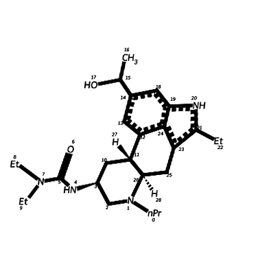 CCCN1C[C@@H](NC(=O)N(CC)CC)C[C@@H]2c3cc(C(C)O)cc4[nH]c(CC)c(c34)C[C@H]21